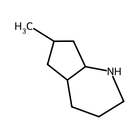 CC1CC2CCCNC2C1